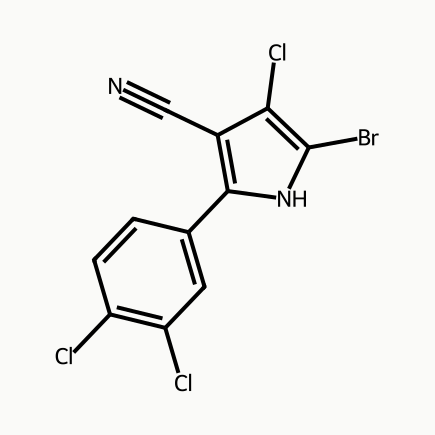 N#Cc1c(-c2ccc(Cl)c(Cl)c2)[nH]c(Br)c1Cl